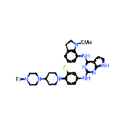 CCN1CCN(C2CCN(c3ccc(Nc4nc(Nc5cccc6c5N(SC)CC6)c5cc[nH]c5n4)cc3F)CC2)CC1